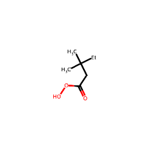 CCC(C)(C)CC(=O)OO